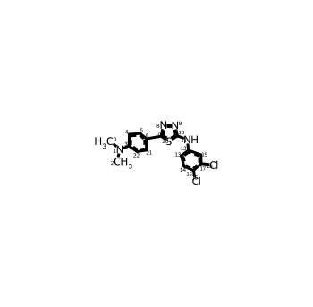 CN(C)c1ccc(-c2nnc(Nc3ccc(Cl)c(Cl)c3)s2)cc1